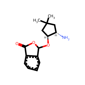 CC1(C)C[C@H](OC2OC(=O)c3ccccc32)[C@@H](N)C1